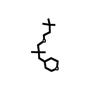 CC(C)(C)CCOCC(C)(C)CC1CCOCC1